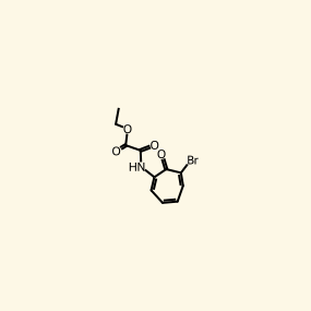 CCOC(=O)C(=O)Nc1ccccc(Br)c1=O